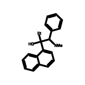 CCC(O)(c1cccc2ccccc12)C(NC)c1ccccc1